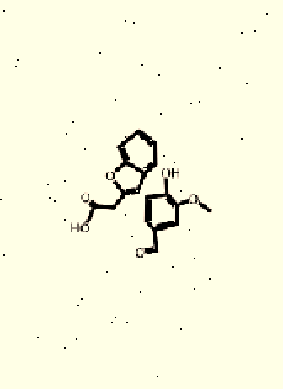 COc1cc(C=O)ccc1O.O=C(O)Cc1cc2ccccc2o1